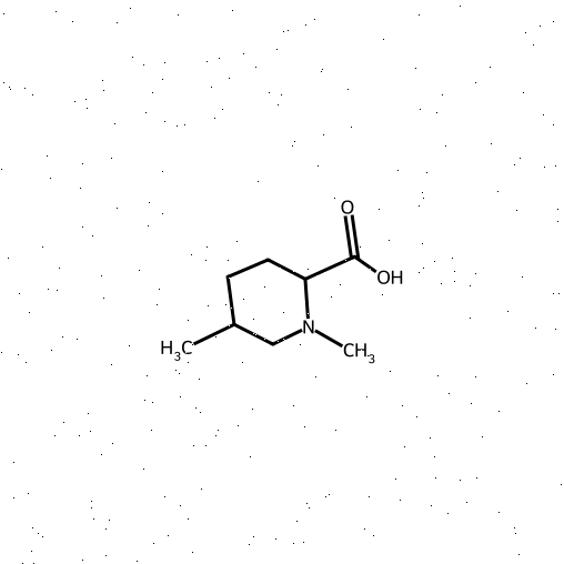 CC1CCC(C(=O)O)N(C)C1